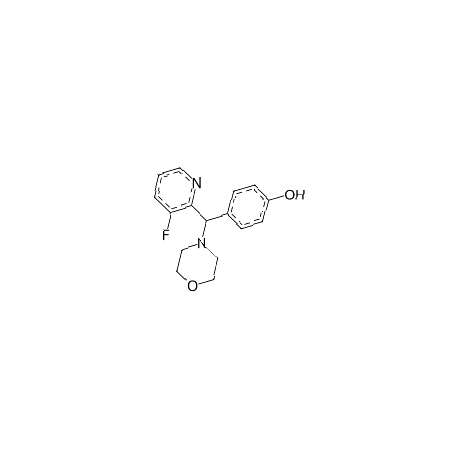 Oc1ccc(C(c2ncccc2F)N2CCOCC2)cc1